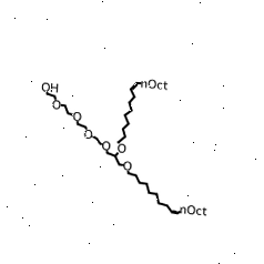 CCCCCCCC/C=C\CCCCCCCCOCC(COCCOCCOCCOCCO)OCCCCCCCC/C=C\CCCCCCCC